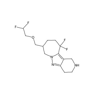 FC(F)COCC1CCC(F)(F)c2c3c(nn2C1)CCNC3